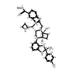 COC(=O)c1ccc2nc(CN3CCN(c4cccc5c4O[C@](C)(c4ccc(Cl)cn4)O5)[C@@H]4CC[C@H]43)n(C[C@@H]3CCO3)c2c1